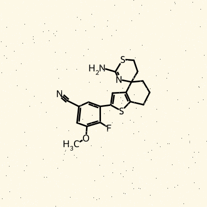 COc1cc(C#N)cc(-c2cc3c(s2)CCCC32CCSC(N)=N2)c1F